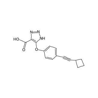 O=C(O)c1nn[nH]c1Oc1ccc(C#CC2CCC2)cc1